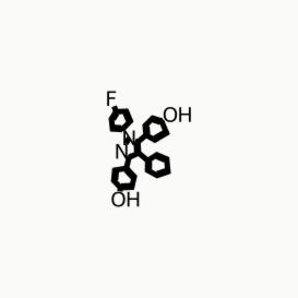 Oc1ccc(-c2nn(-c3ccc(F)cc3)c(-c3ccc(O)cc3)c2-c2ccccc2)cc1